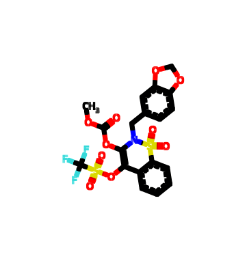 COC(=O)OC1=C(OS(=O)(=O)C(F)(F)F)c2ccccc2S(=O)(=O)N1Cc1ccc2c(c1)OCO2